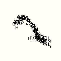 CCN(CC1CCN(c2ncc(C(=O)NC3C(C)(C)C(Oc4cc(C)c(C#N)c(C)c4)C3(C)C)cn2)CC1)C1CC(Oc2ccc3c(c2)C(=O)N([C@@H]2CCC(=O)NC2=O)C3=O)C1